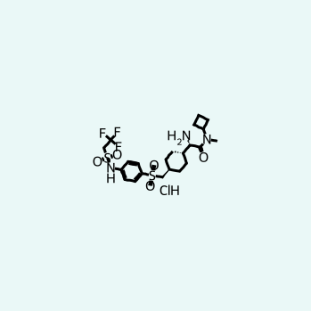 CN(C(=O)[C@@H](N)[C@H]1CC[C@H](CS(=O)(=O)c2ccc(NS(=O)(=O)CC(F)(F)F)cc2)CC1)C1CCC1.Cl